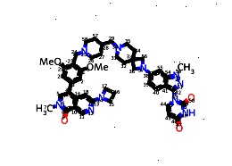 COc1cc(-c2cn(C)c(=O)c3cnc(N4CCC4)cc23)cc(OC)c1CN1CCC(CN2CCC3(CC2)CN(c2ccc4c(-n5ccc(=O)[nH]c5=O)nn(C)c4c2)C3)CC1